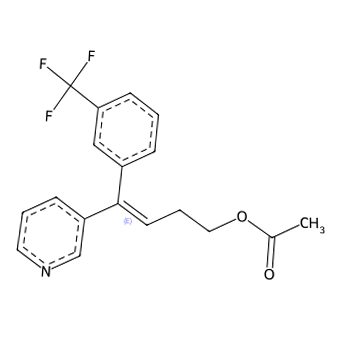 CC(=O)OCC/C=C(/c1cccnc1)c1cccc(C(F)(F)F)c1